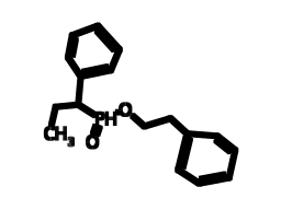 CCC(c1ccccc1)[PH](=O)OCCc1ccccc1